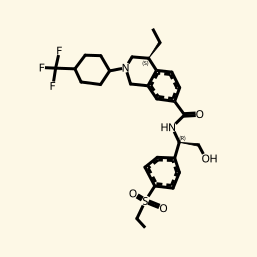 CC[C@@H]1CN(C2CCC(C(F)(F)F)CC2)Cc2cc(C(=O)N[C@@H](CO)c3ccc(S(=O)(=O)CC)cc3)ccc21